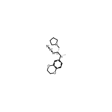 C[C@H](c1ccc2c(c1)OCCO2)[C@@H](CN1CCCC1)N=[N+]=[N-]